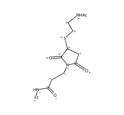 CCNC(=O)CCN1C(=O)CC(SCCNC(C)=O)C1=O